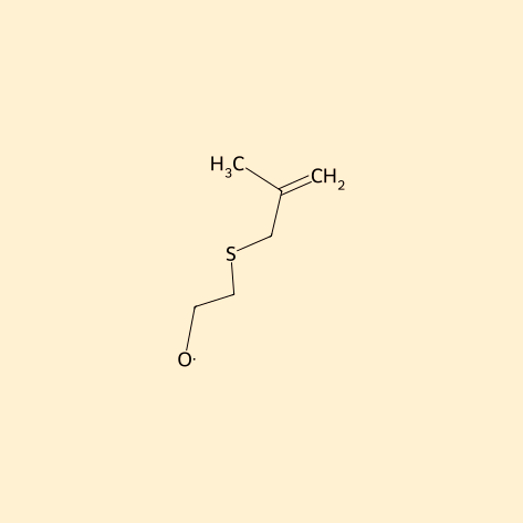 C=C(C)CSCC[O]